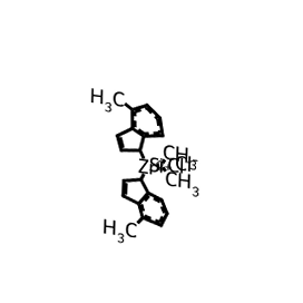 Cc1cccc2c1C=C[CH]2[Zr+2]([CH]1C=Cc2c(C)cccc21)=[Si](C)C.[Cl-].[Cl-]